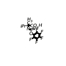 CC(C)[C@@](C)(N=[P+]([O-])Oc1c(F)c(F)c(F)c(F)c1F)C(=O)O